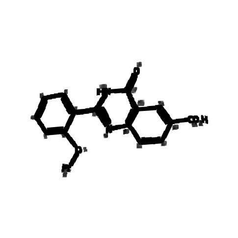 CCOc1ccccc1-c1nc2ccc(C(=O)O)cc2c(=O)[nH]1